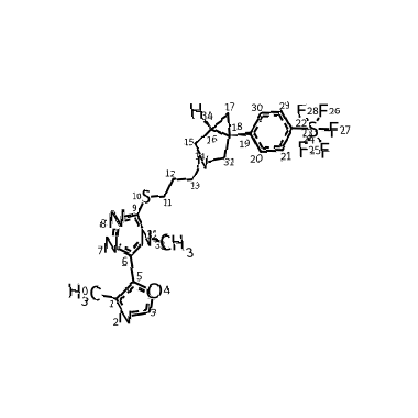 Cc1ncoc1-c1nnc(SCCCN2C[C@@H]3C[C@]3(c3ccc(S(F)(F)(F)(F)F)cc3)C2)n1C